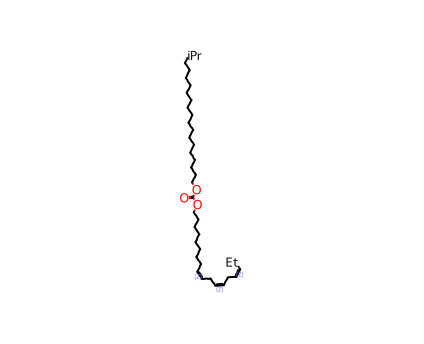 CC/C=C\C/C=C\C/C=C\CCCCCCCCOC(=O)OCCCCCCCCCCCCCCCCCC(C)C